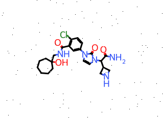 NC(=O)C(C1CNC1)n1ccn(-c2ccc(Cl)c(C(=O)NCC3(O)CCCCCC3)c2)c1=O